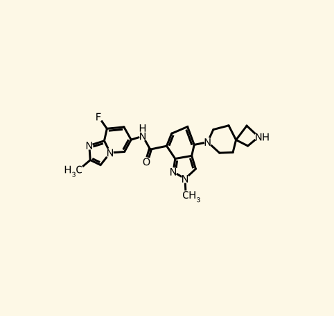 Cc1cn2cc(NC(=O)c3ccc(N4CCC5(CC4)CNC5)c4cn(C)nc34)cc(F)c2n1